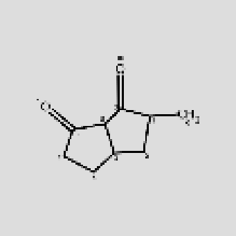 CC1CC2CCC(=O)C2C1=O